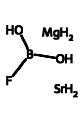 OB(O)F.[MgH2].[SrH2]